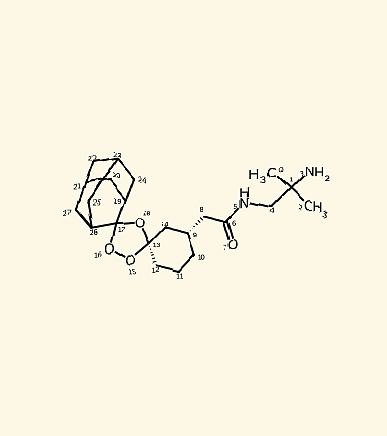 CC(C)(N)CNC(=O)C[C@@H]1CCC[C@]2(C1)OOC1(O2)C2CC3CC(C2)CC1C3